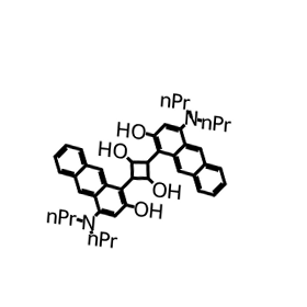 CCCN(CCC)c1cc(O)c(C2C(O)C(c3c(O)cc(N(CCC)CCC)c4cc5ccccc5cc34)C2O)c2cc3ccccc3cc12